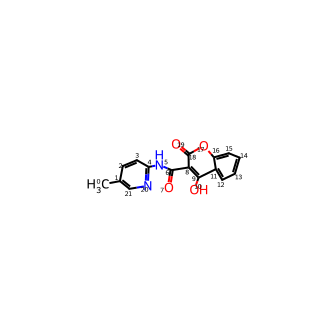 Cc1ccc(NC(=O)c2c(O)c3ccccc3oc2=O)nc1